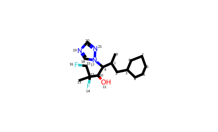 CC(CC1CCCCC1)C(C(O)C(C)(F)CF)n1cncn1